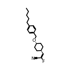 CCCCCc1ccc(CO[C@H]2CC[C@H](/C=C(/F)C#N)CC2)cc1